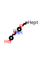 CCCCCCCC=CCOc1ccc(NC(=O)/C=C/c2ccc(O)cc2)cc1